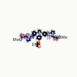 CCC1(COc2ccc(N3[C@@H](c4ccc5[nH]c([C@@H]6CCCN6C(=O)C(NC(=O)OC)C(C)C)nc5c4)CC[C@@H]3c3ccc4[nH]c([C@@H]5CCCN5C(=O)[C@@H](NC(=O)OC)C(C)C)nc4c3)cc2)COC1